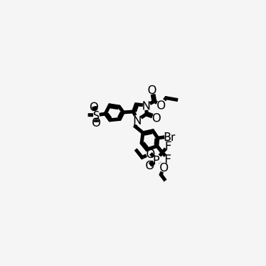 CCOC(=O)n1cc(-c2ccc(S(C)(=O)=O)cc2)n(Cc2ccc(C(F)(F)P(=O)(OCC)OCC)c(Br)c2)c1=O